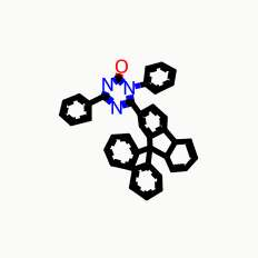 O=c1nc(-c2ccccc2)nc(-c2ccc3c(c2)C(c2ccccc2)(c2ccccc2)C2C=CC=CC32)n1-c1ccccc1